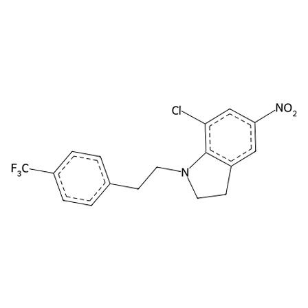 O=[N+]([O-])c1cc(Cl)c2c(c1)CCN2CCc1ccc(C(F)(F)F)cc1